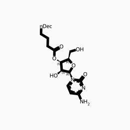 CCCCCCCCCCCCCC(=O)O[C@H]1[C@H](O)[C@H](n2ccc(N)nc2=O)O[C@@H]1CO